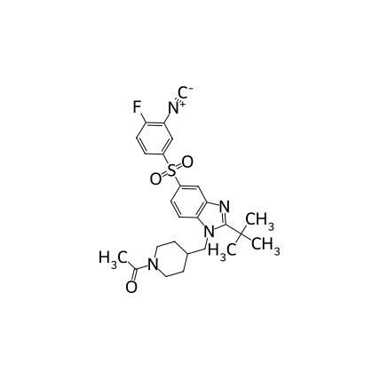 [C-]#[N+]c1cc(S(=O)(=O)c2ccc3c(c2)nc(C(C)(C)C)n3CC2CCN(C(C)=O)CC2)ccc1F